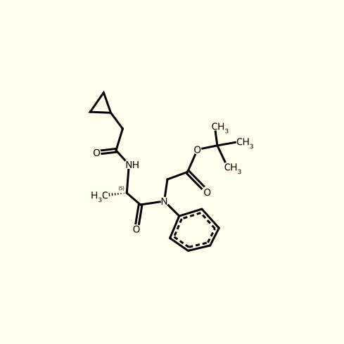 C[C@H](NC(=O)CC1CC1)C(=O)N(CC(=O)OC(C)(C)C)c1ccccc1